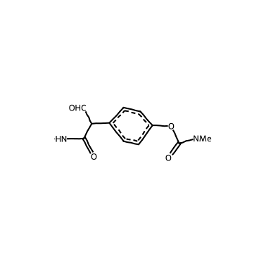 CNC(=O)Oc1ccc(C(C=O)C([NH])=O)cc1